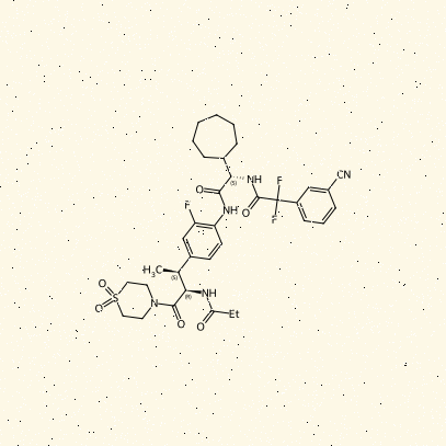 CCC(=O)N[C@@H](C(=O)N1CCS(=O)(=O)CC1)[C@@H](C)c1ccc(NC(=O)[C@@H](NC(=O)C(F)(F)c2cccc(C#N)c2)C2CCCCCC2)c(F)c1